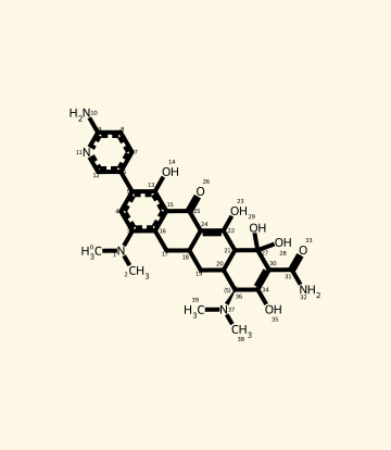 CN(C)c1cc(-c2ccc(N)nc2)c(O)c2c1CC1CC3C(C(O)=C1C2=O)C(O)(O)C(C(N)=O)=C(O)[C@H]3N(C)C